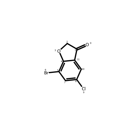 O=C1COc2c(Br)cc(Cl)cc21